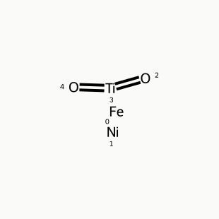 [Fe].[Ni].[O]=[Ti]=[O]